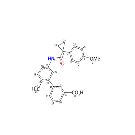 COc1ccc(C2(C(=O)Nc3ccc(C)c(-c4cccc(C(=O)O)c4)c3)CC2)cc1